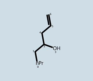 [CH2]CCCC(O)CC=C